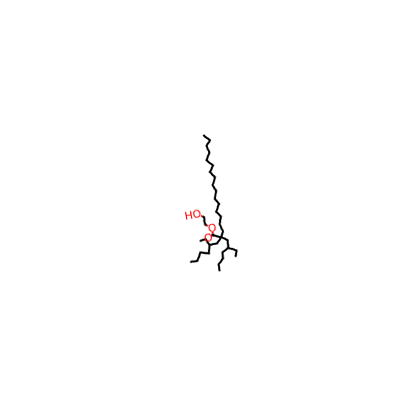 CCCCCCCCCCCCCCCCC(CC(CC)CCCC)(CC(CC)CCCC)C(=O)OCCO